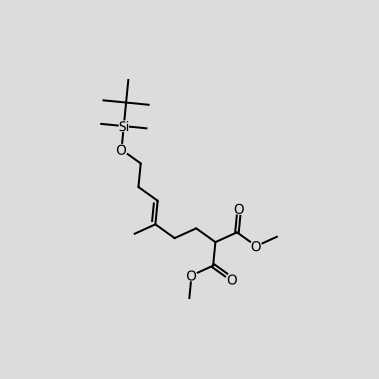 COC(=O)C(CCC(C)=CCCO[Si](C)(C)C(C)(C)C)C(=O)OC